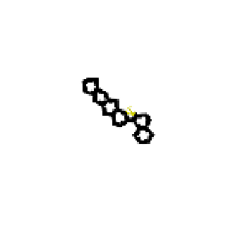 c1ccc2cc3cc4c(ccc5c4sc4ccc6ccccc6c45)cc3cc2c1